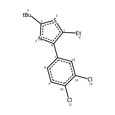 CCc1sc(C(C)(C)C)nc1-c1ccc(Cl)c(Cl)c1